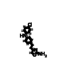 NC1=NC(CCc2ccc(Nc3ccc(Cl)cc3)cc2)CO1